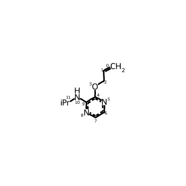 C=CCOc1nccnc1NC(C)C